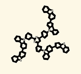 c1cc(-c2cc(-c3ccc(-n4c5ccccc5c5cc(-c6ccc7sc8ccccc8c7c6)ccc54)cc3)nc(-c3cccc(-n4c5ccccc5c5cc(-c6ccc7sc8ccccc8c7c6)ccc54)c3)n2)cc(-n2c3ccccc3c3cc(-c4ccc5sc6ccccc6c5c4)ccc32)c1